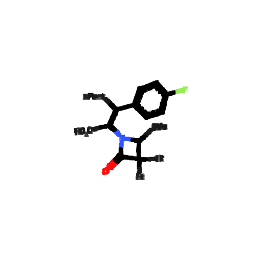 CCCCCC(c1ccc(F)cc1)C(C(=O)O)N1C(=O)C(CC)(CC)C1SC